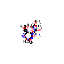 CC[C@H](C)[C@@H]1NC(=O)CNC(=O)C(N)Cc2c([nH]c3cc(OC(C)=O)ccc23)SCC(C(=O)NC(CC(N)=O)C(=O)N2CC(O)C[C@H]2C(=O)N[C@H](C(=O)O)C(C)[C@H](COC(C)=O)OC(C)=O)NC(=O)CNC1=O